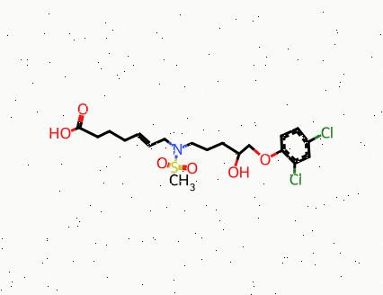 CS(=O)(=O)N(CC=CCCCC(=O)O)CCCC(O)COc1ccc(Cl)cc1Cl